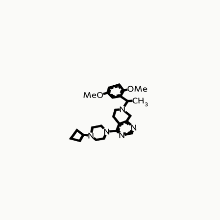 COc1ccc(OC)c(C(C)N2CCc3c(ncnc3N3CCN(C4CCC4)CC3)C2)c1